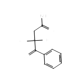 CC(C)(CC(N)=O)C(=S)c1ccccc1